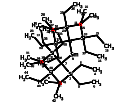 CC[Si](CC)(CC)[C]([Sm][C]([Si](CC)(CC)CC)([Si](CC)(CC)CC)[Si](CC)(CC)CC)([Si](CC)(CC)CC)[Si](CC)(CC)CC